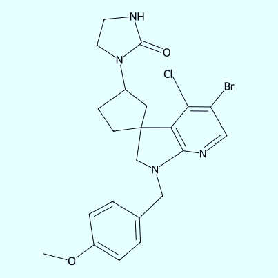 COc1ccc(CN2CC3(CCC(N4CCNC4=O)C3)c3c2ncc(Br)c3Cl)cc1